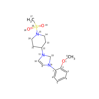 COc1ccccc1N1C=CN(C2CCN(S(C)(=O)=O)CC2)C1